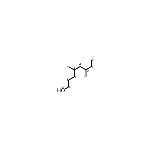 CCC(C)CC(C)CCCO